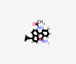 CC(=O)Nc1ccc2c(C3CC3)cccc2c1-c1cc(F)ccc1C(N)=O